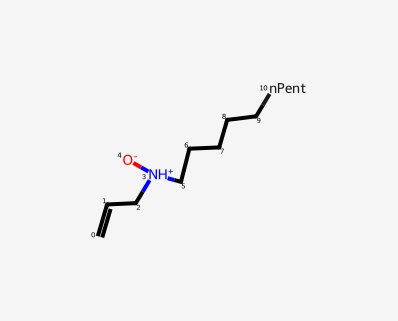 C=CC[NH+]([O-])CCCCCCCCCC